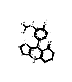 O=C1CCCC2=C1C(c1ccc(Cl)c(OC(F)F)c1)C1=C(CCS1)N2